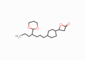 CCCC(CCCC1CCC(C2CC(=O)O2)CC1)C1OCCCO1